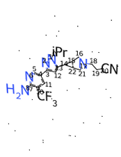 CC(C)n1nc(-c2cnc(N)c(C(F)(F)F)c2)cc1C1C2CN(CCC#N)CC21